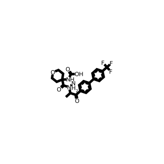 CC(C(=O)c1ccc(-c2ccc(C(F)(F)F)cc2)cc1)N(N)C(=O)C1(NC(=O)O)CCOCC1